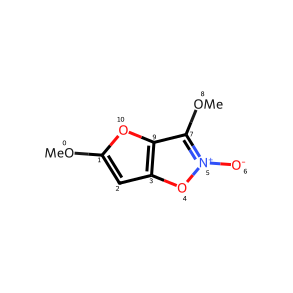 COc1cc2o[n+]([O-])c(OC)c2o1